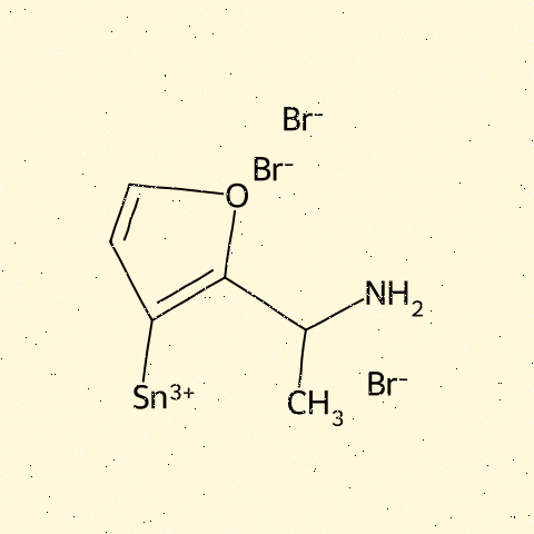 CC(N)c1occ[c]1[Sn+3].[Br-].[Br-].[Br-]